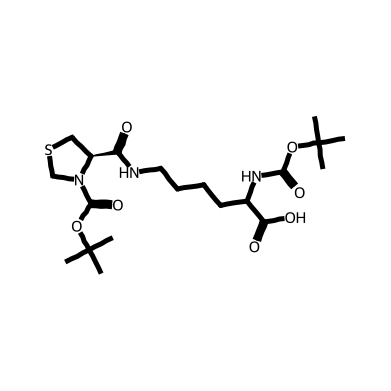 CC(C)(C)OC(=O)NC(CCCCNC(=O)[C@@H]1CSCN1C(=O)OC(C)(C)C)C(=O)O